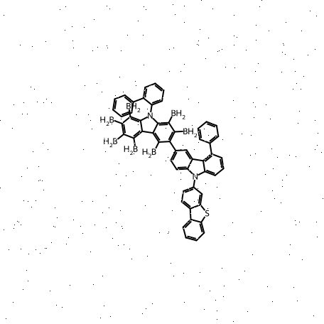 Bc1c(B)c(B)c2c(c1B)c1c(B)c(-c3ccc4c(c3)c3c(-c5ccccc5)cccc3n4-c3ccc4c(c3)sc3ccccc34)c(B)c(B)c1n2-c1ccccc1-c1ccccc1